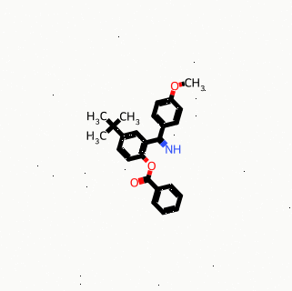 COc1ccc(C(=N)c2cc(C(C)(C)C)ccc2OC(=O)c2ccccc2)cc1